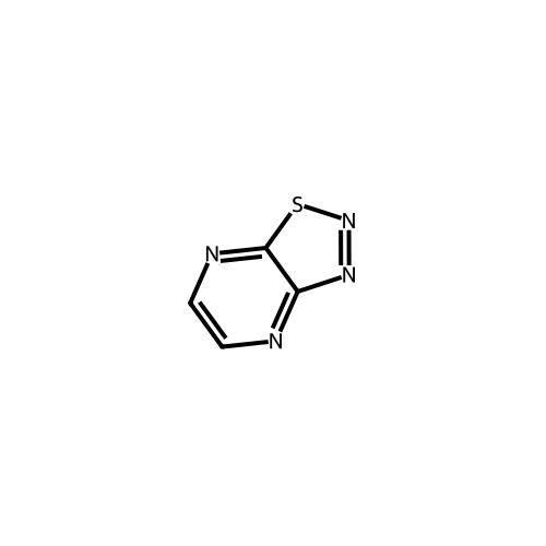 c1cnc2snnc2n1